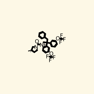 C[C@@H]1CCN(C(=O)NCC(Cc2ccccc2)(c2cccc(OC(F)(F)F)c2)c2cccc(OC(F)(F)F)c2)C1